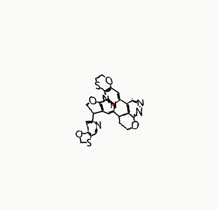 [c]1nnc2c(c1-c1cc3c(nn1)SCCO3)C(c1ccc3c(c1)C(c1cc4c(cn1)SCO4)CO3)CCO2